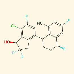 N#Cc1cc(F)cc2c1C(c1cc(F)c(Cl)c3c1CC(F)(F)[C@H]3O)CC[C@@H]2F